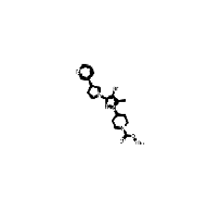 Cc1c(Br)c(N2CCC(c3cccnc3)C2)nn1C1CCN(C(=O)OC(C)(C)C)CC1